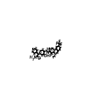 CCN(Cc1ccc(C(F)(F)F)cc1)c1ncnc(NC[C@H]2CCN(C(C(N)=O)c3ccncc3)C[C@@H]2O)c1F